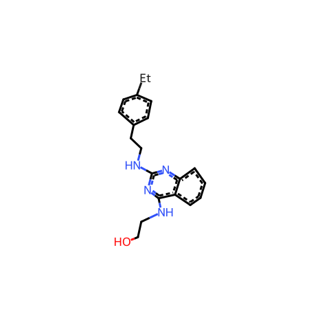 CCc1ccc(CCNc2nc(NCCO)c3ccccc3n2)cc1